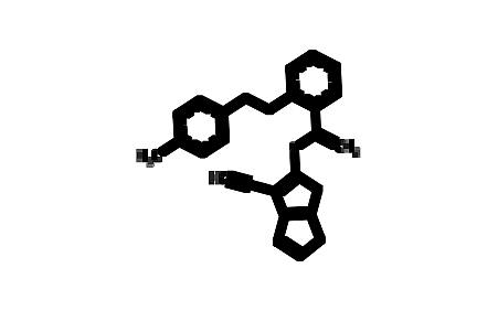 C#CC1=C(SC(=C)c2ccccc2CCc2ccc(C)cc2)CC2=C1C=CC2